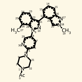 CC(=O)N1CCN(c2ccc(-n3nc(-c4cccc5nn(C)cc45)c4cccc(C)c43)cn2)CC1